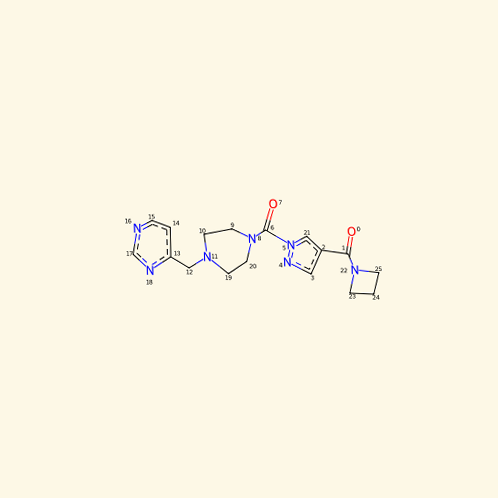 O=C(c1cnn(C(=O)N2CCN(Cc3ccncn3)CC2)c1)N1CCC1